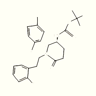 CC(C)(C)OC(=O)N[C@H]1CCC(=O)N(CCc2ccccc2F)[C@@H]1c1cc(F)ccc1F